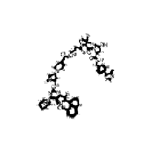 Cc1ncsc1-c1ccc(CNC(=O)[C@@H]2C[C@@H](O)CN2C(=O)[C@@H](NC(=O)CCCNC(=O)C2CCN([C@H]3C[C@@H](COc4nc(N5CC6CCC(C5)N6)c5cnc(-c6cccc7cccc(Cl)c67)c(F)c5n4)N(C)C3)CC2)C(C)(C)C)cc1